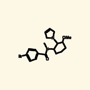 COC1CCCC(N(C)C(=O)c2ccc(Br)cc2)C1N1CC=CC1